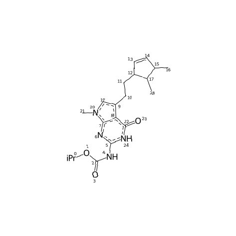 CC(C)OC(=O)Nc1nc2c(c(CCC3C=CC(C)C3C)cn2C)c(=O)[nH]1